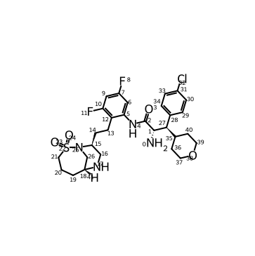 N[C@H](C(=O)Nc1cc(F)cc(F)c1CC[C@H]1CN[C@@H]2CCCS(=O)(=O)N1C2)[C@@H](c1ccc(Cl)cc1)C1CCOCC1